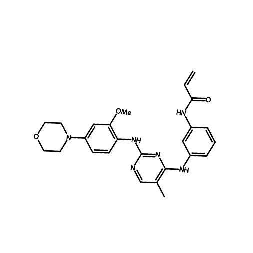 C=CC(=O)Nc1cccc(Nc2nc(Nc3ccc(N4CCOCC4)cc3OC)ncc2C)c1